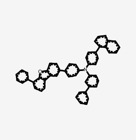 c1ccc(-c2cccc(N(c3ccc(-c4ccc5oc6c(-c7ccccc7)cccc6c5c4)cc3)c3ccc(-c4cccc5ccccc45)cc3)c2)cc1